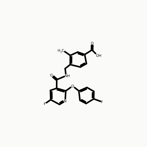 Cc1cc(C(=O)O)ccc1CNC(=O)c1cc(F)cnc1Oc1ccc(F)cc1